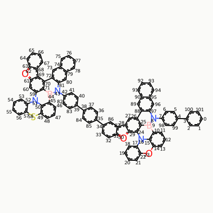 c1ccc(-c2ccc(N3B4c5cccc6c5N(c5ccccc5O6)c5c4c(cc4c5oc5ccc(-c6ccc(-c7ccc(N8B9c%10cccc%11c%10N(c%10ccccc%10S%11)c%10cc%11oc%12ccccc%12c%11c(c%109)-c9cc%10ccccc%10cc98)cc7)cc6)cc54)-c4cc5ccccc5cc43)cc2)cc1